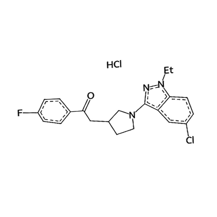 CCn1nc(N2CCC(CC(=O)c3ccc(F)cc3)C2)c2cc(Cl)ccc21.Cl